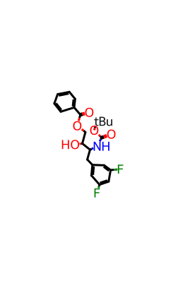 CC(C)(C)OC(=O)NC(Cc1cc(F)cc(F)c1)C(O)COC(=O)c1ccccc1